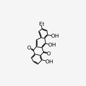 CCc1cc(O)c2c(O)c3c(cc2c1)C(=O)c1cccc(O)c1C3=O